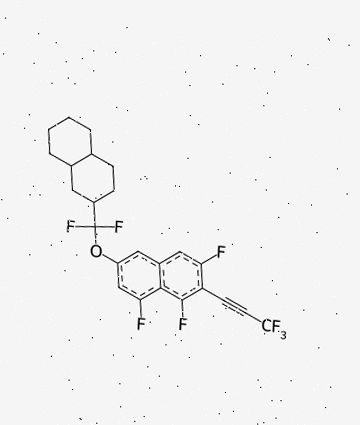 Fc1cc2cc(OC(F)(F)C3CCC4CCCCC4C3)cc(F)c2c(F)c1C#CC(F)(F)F